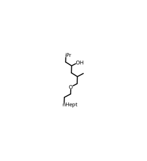 CCCCCCCCCOCC(C)CC(O)CC(C)C